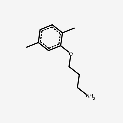 Cc1ccc(C)c(OCCCN)c1